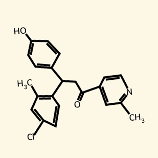 Cc1cc(C(=O)CC(c2ccc(O)cc2)c2ccc(Cl)cc2C)ccn1